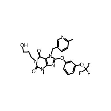 Cc1ccc(Cn2c(Oc3cccc(OC(F)(F)F)c3)nc3c2c(=O)n(CCCO)c(=O)n3C)cn1